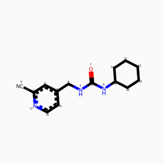 N#Cc1cc(CNC(=O)NC2CCCCC2)ccn1